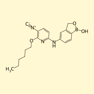 [C-]#[N+]c1ccc(Nc2ccc3c(c2)COB3O)nc1OCCCCCC